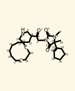 CN1C(=O)N(CC(=O)C2CNCC3(CCCCCCCCC3)C2)C(=O)C1(C)C1=CCCCC1